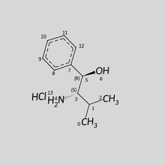 CC(C)[C@H](N)[C@H](O)c1ccccc1.Cl